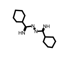 N=C(N=NC(=N)C1CCCCC1)C1CCCCC1